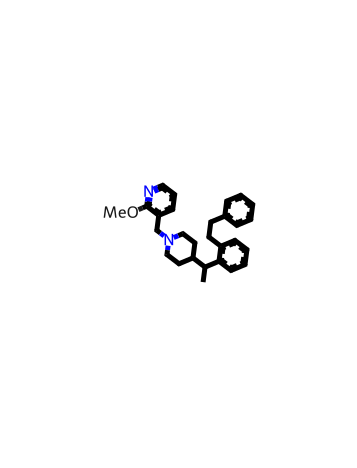 COc1ncccc1CN1CCC(C(C)c2ccccc2CCc2ccccc2)CC1